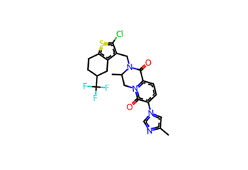 Cc1cn(-c2ccc3n(c2=O)CC(C)N(Cc2c(Cl)sc4c2CC(C(F)(F)F)CC4)C3=O)cn1